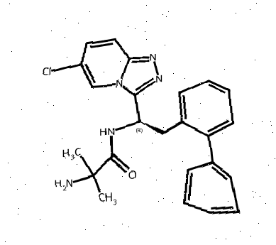 CC(C)(N)C(=O)N[C@H](Cc1ccccc1-c1ccccc1)c1nnc2ccc(Cl)cn12